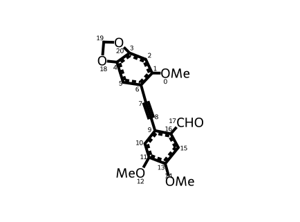 COc1cc2c(cc1C#Cc1cc(OC)c(OC)cc1C=O)OCO2